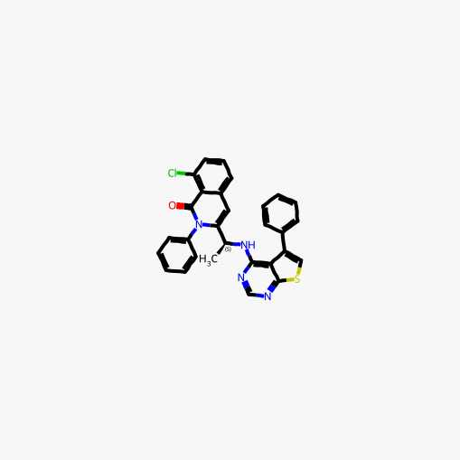 C[C@H](Nc1ncnc2scc(-c3ccccc3)c12)c1cc2cccc(Cl)c2c(=O)n1-c1ccccc1